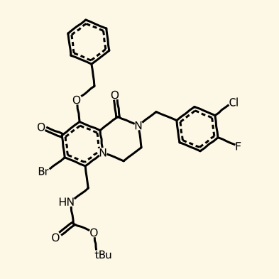 CC(C)(C)OC(=O)NCc1c(Br)c(=O)c(OCc2ccccc2)c2n1CCN(Cc1ccc(F)c(Cl)c1)C2=O